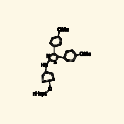 CCCCCCCOc1ccc(Nc2nc(-c3ccc(OC)cc3)c(-c3ccc(OC)cc3)s2)cc1